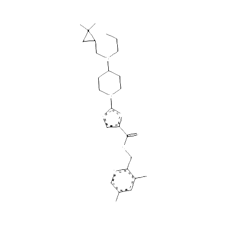 O=C(NCc1ncc(F)cc1F)c1cnc(N2CCC(N3CCC[C@]4(C3)CC4(F)F)CC2)s1